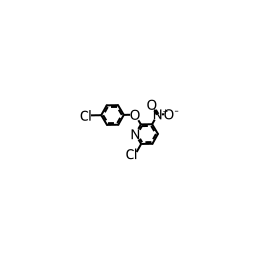 O=[N+]([O-])c1ccc(Cl)nc1Oc1ccc(Cl)cc1